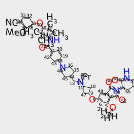 [2H]C([2H])([2H])Oc1cc(OC2CC(N(CC3CCN(c4ccc(C(=O)NC5C(C)(C)C(Oc6ccc(C#N)c(OC)c6)C5(C)C)cc4)CC3)C(C)C)C2)cc2c1C(=O)N([C@@H]1CCC(=O)NC1=O)C2=O